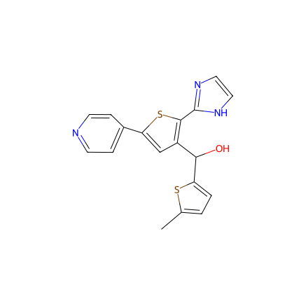 Cc1ccc(C(O)c2cc(-c3ccncc3)sc2-c2ncc[nH]2)s1